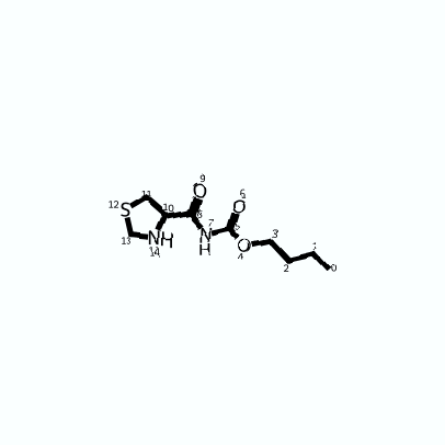 CCCCOC(=O)NC(=O)C1CSCN1